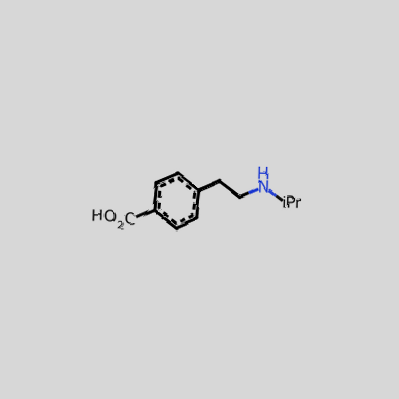 CC(C)NCCc1ccc(C(=O)O)cc1